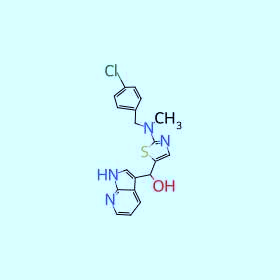 CN(Cc1ccc(Cl)cc1)c1ncc(C(O)c2c[nH]c3ncccc23)s1